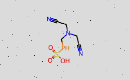 N#CCN(CC#N)CPS(=O)(=O)O